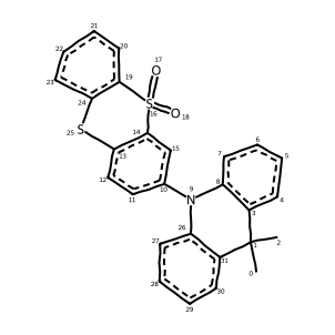 CC1(C)c2ccccc2N(c2ccc3c(c2)S(=O)(=O)c2ccccc2S3)c2ccccc21